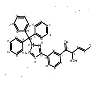 CC=CC(O)C(=O)c1cccc(-c2nnn(C(c3ccccc3)(c3ccccc3)c3ccccc3)n2)c1